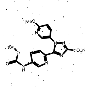 COc1ccc(-n2nc(C(=O)O)nc2-c2ccc(NC(=O)OC(C)(C)C)cn2)cn1